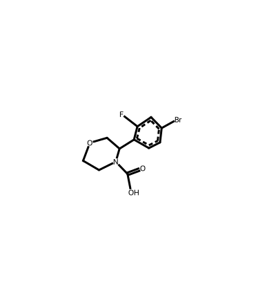 O=C(O)N1CCOCC1c1ccc(Br)cc1F